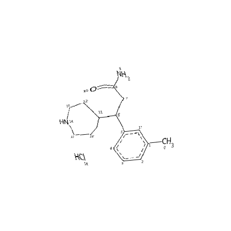 Cc1cccc(C(CC(N)=O)C2CCNCC2)c1.Cl